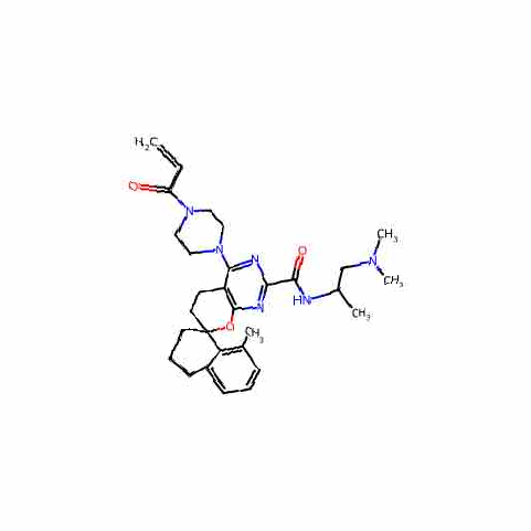 C=CC(=O)N1CCN(c2nc(C(=O)NC(C)CN(C)C)nc3c2CCC2(CCCc4cccc(C)c42)O3)CC1